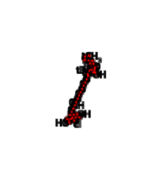 Cc1ncsc1-c1ccc(CNC(=O)[C@@H]2C[C@@H](O)CN2C(=O)[C@@H](NC(=O)CCOCCOCCOCCOCCOCCC(=O)NCCOc2ccc(C(=C(CCCl)c3ccc(O)cc3)c3ccc(O)cc3)cc2)C(C)(C)C)cc1